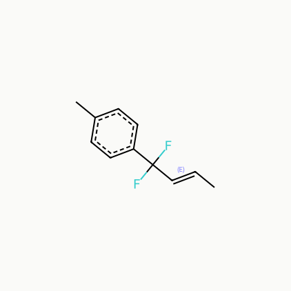 C/C=C/C(F)(F)c1ccc(C)cc1